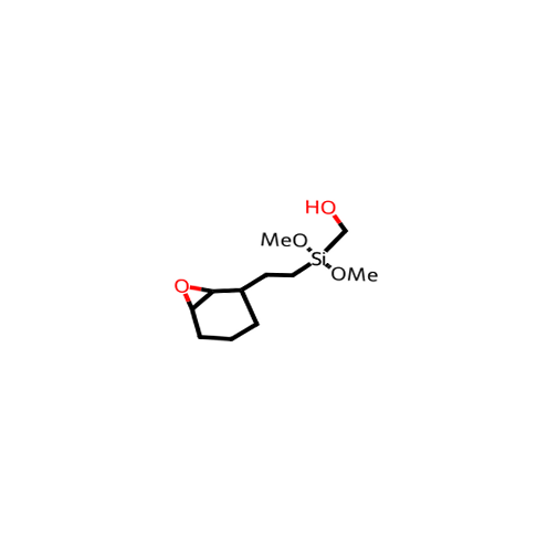 CO[Si](CO)(CCC1CCCC2OC12)OC